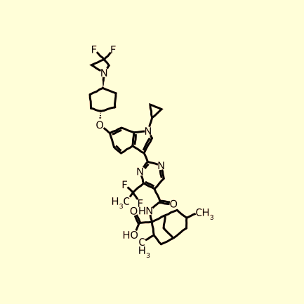 CC1CC2CC(C)C(NC(=O)c3cnc(-c4cn(C5CC5)c5cc(O[C@H]6CC[C@H](N7CC(F)(F)C7)CC6)ccc45)nc3C(C)(F)F)(C(=O)O)C(C1)C2